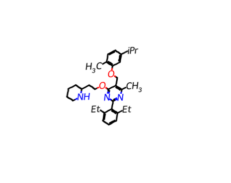 CCc1cccc(CC)c1-c1nc(C)c(COc2cc(C(C)C)ccc2C)c(OCCC2CCCCN2)n1